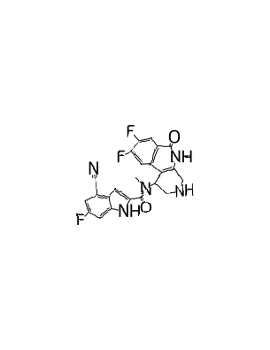 CN(C(=O)c1cc2c(C#N)cc(F)cc2[nH]1)C1CNCc2[nH]c(=O)c3cc(F)c(F)cc3c21